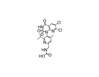 Cc1cc(CNC(=O)O)nc(C(C)C)c1N1c2nc(Cl)c(Cl)cc2C(=O)NS1(=O)=O